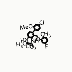 COc1cc(Cl)ccc1-c1ccc2c(c1COc1cc(F)ccc1C)NC(=O)C(C)(C)N2